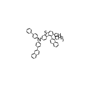 Cc1ccc2sc3cc(N(c4ccc(-c5ccccc5)cc4)c4ccc(-c5ccc6ccccc6c5)cc4)ccc3c2c1-c1ccc2ccccc2c1C